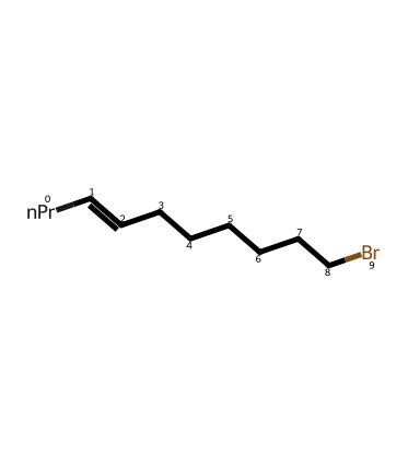 CCCC=CCCCCCCBr